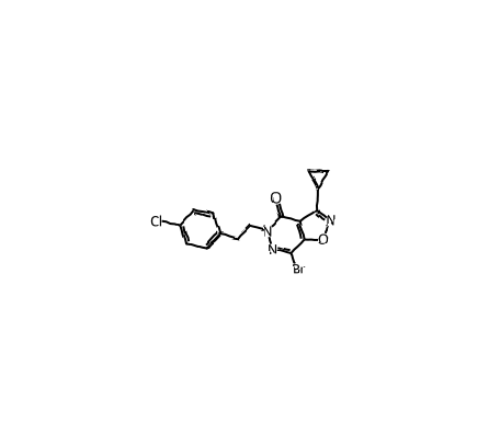 O=c1c2c(C3CC3)noc2c(Br)nn1CCc1ccc(Cl)cc1